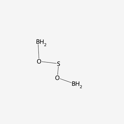 BOSOB